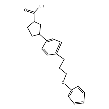 O=C(O)C1CCC(c2ccc(CCCOc3ccccc3)cc2)C1